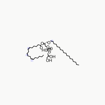 CCCCC/C=C\C/C=C\C/C=C\CCCCC(=O)O[C@H](CO/C=C\CCCCCCCCCCCCCCCC)COP(=O)(O)OC[C@@H](O)CO